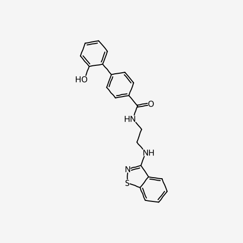 O=C(NCCNc1nsc2ccccc12)c1ccc(-c2ccccc2O)cc1